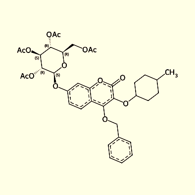 CC(=O)OC[C@H]1O[C@@H](Oc2ccc3c(OCc4ccccc4)c(OC4CCC(C)CC4)c(=O)oc3c2)[C@H](OC(C)=O)[C@@H](OC(C)=O)[C@@H]1OC(C)=O